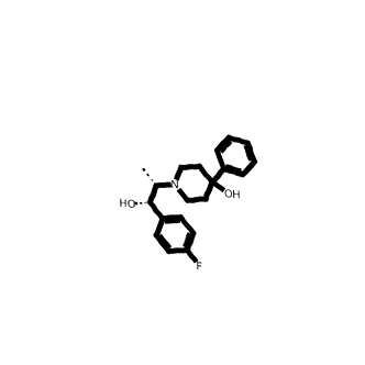 C[C@@H]([C@@H](O)c1ccc(F)cc1)N1CCC(O)(c2ccccc2)CC1